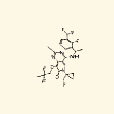 Cc1nc(N[C@H](C)c2cccc(C(F)F)c2F)c2cn(C3(CF)CC3)c(=O)c(OCC(C)(F)F)c2n1